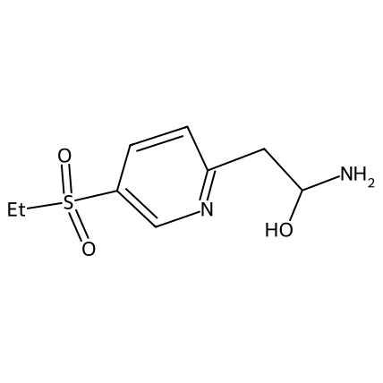 CCS(=O)(=O)c1ccc(CC(N)O)nc1